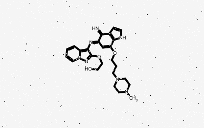 CN1CCN(CCCOC2=CC(=Nc3c(OCCO)nn4ccccc34)C(=N)c3cc[nH]c32)CC1